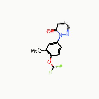 COc1cc(-n2ncccc2=O)ccc1OC(F)F